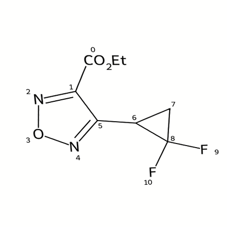 CCOC(=O)c1nonc1C1CC1(F)F